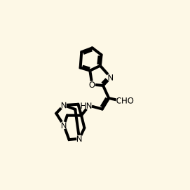 O=CC(=CNC12CN3CN(CN(C3)C1)C2)c1nc2ccccc2o1